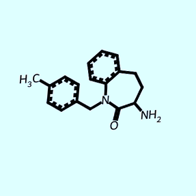 Cc1ccc(CN2C(=O)C(N)CCc3ccccc32)cc1